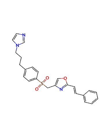 O=S(=O)(Cc1coc(C=Cc2ccccc2)n1)c1ccc(CCCn2ccnc2)cc1